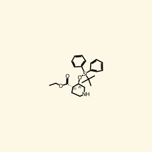 CCOC(=O)[C@H]1CCNC[C@@H]1O[Si](c1ccccc1)(c1ccccc1)C(C)(C)C